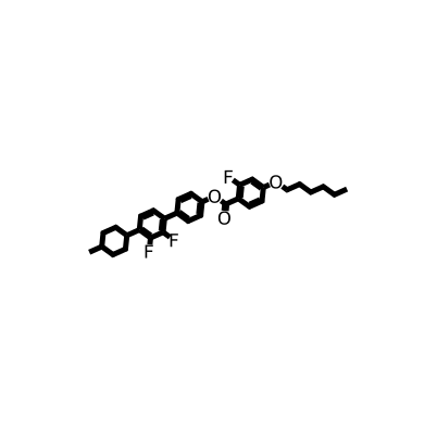 CCCCCCOc1ccc(C(=O)Oc2ccc(-c3ccc(C4CCC(C)CC4)c(F)c3F)cc2)c(F)c1